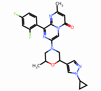 Cc1cc(=O)n2cc(N3CC(C)OC(c4cnn(C5CC5)c4)C3)nc(-c3ccc(F)cc3F)c2n1